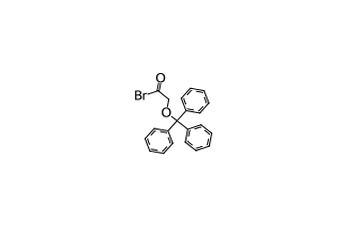 O=C(Br)COC(c1ccccc1)(c1ccccc1)c1ccccc1